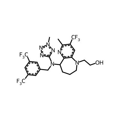 Cc1nc2c(cc1C(F)(F)F)N(CCO)CCCC2N(Cc1cc(C(F)(F)F)cc(C(F)(F)F)c1)c1nnn(C)n1